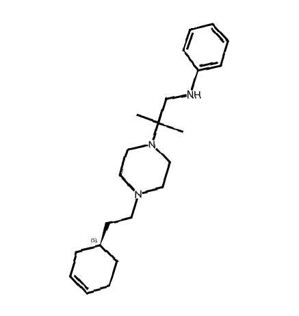 CC(C)(CNc1ccccc1)N1CCN(CC[C@@H]2CC=CCC2)CC1